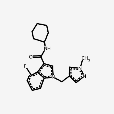 Cn1cc(Cn2cc(C(=O)NC3CCCCC3)c3c(F)cccc32)cn1